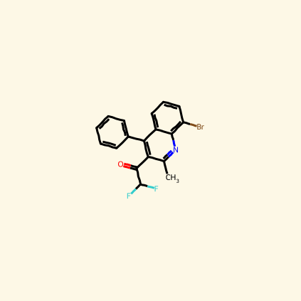 Cc1nc2c(Br)cccc2c(-c2ccccc2)c1C(=O)C(F)F